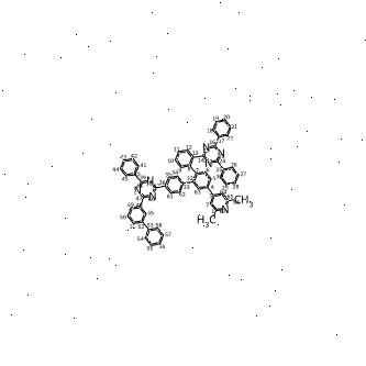 Cc1cc(-c2ccc(-c3ccccc3-c3nc(-c4ccccc4)nc(-c4ccccc4)n3)c(-c3ccc(-c4nc(-c5ccccc5)nc(-c5cccc(-c6ccccc6)c5)n4)cc3)c2)cc(C)n1